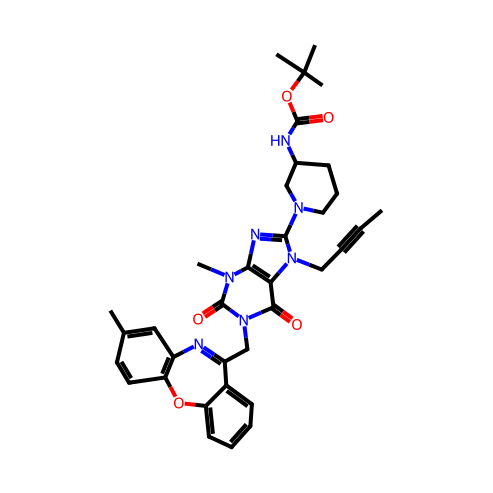 CC#CCn1c(N2CCCC(NC(=O)OC(C)(C)C)C2)nc2c1c(=O)n(CC1=Nc3cc(C)ccc3Oc3ccccc31)c(=O)n2C